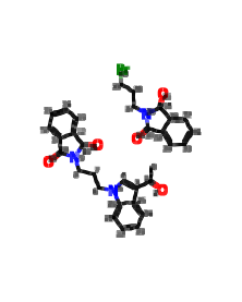 CC(=O)c1cn(CCCN2C(=O)c3ccccc3C2=O)c2ccccc12.O=C1c2ccccc2C(=O)N1CCCBr